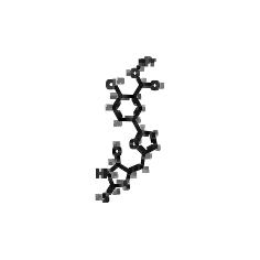 CCCOC(=O)c1cc(-c2ccc(C=C3SC(=S)NC3=O)o2)ccc1Cl